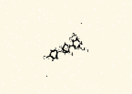 Cc1nc(N2C[C@@H]3C[C@H]2CN3c2ccc(Cl)cc2)c2nsnc2n1